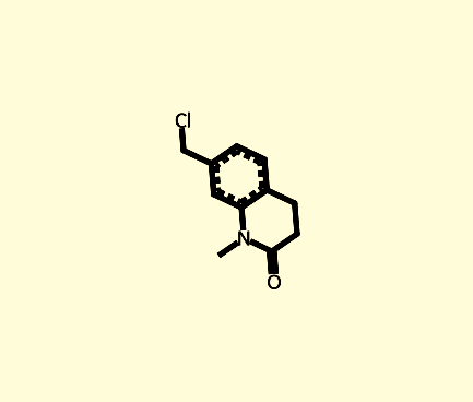 CN1C(=O)CCc2ccc(CCl)cc21